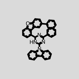 c1ccc(C2=NC(c3cccc4oc5ccc(-c6ccccc6)cc5c34)NC(n3c4ccccc4c4ccccc43)=N2)cc1